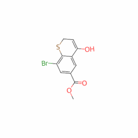 COC(=O)c1cc(Br)c2c(c1)C(O)=CCS2